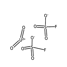 O=S(=O)([O-])F.O=S(=O)([O-])F.[O]=[U+2]=[O]